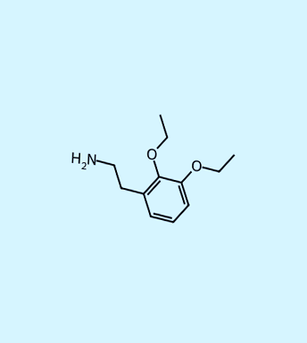 CCOc1cccc(CCN)c1OCC